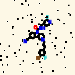 N#Cc1ccc2c(c1)c1c(n2C(=O)NCc2ccnc(F)c2)CCN(C/C=C/c2ccc(Br)c(F)c2)C1